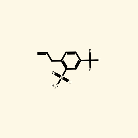 C=CCc1ccc(C(F)(F)F)cc1S(N)(=O)=O